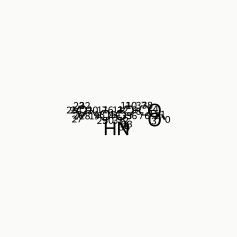 C=CC(=O)OC1CCC(c2ccc3cc(C4CCC(CCc5ccc(C)c(C)c5)CC4)cc(C=N)c3c2)CC1